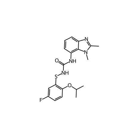 Cc1nc2cccc(NC(=O)NSc3cc(F)ccc3OC(C)C)c2n1C